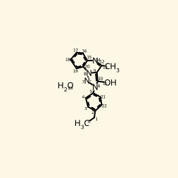 CCc1ccc(N2[N]N3C(=C2O)C(C)=Nc2ccccc23)cc1.O